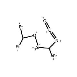 CCCC(N=C=O)[SiH2]OC(CC)CC